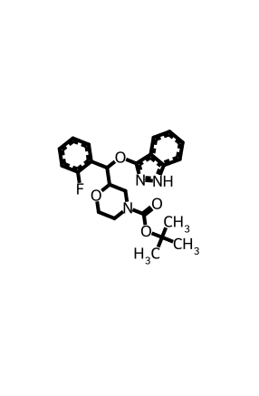 CC(C)(C)OC(=O)N1CCOC(C(Oc2n[nH]c3ccccc23)c2ccccc2F)C1